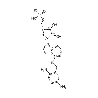 Nc1ccc(N)c(CNc2ncnc3c2ncn3[C@@H]2O[C@H](COP(=O)(O)O)[C@@H](O)[C@H]2O)c1